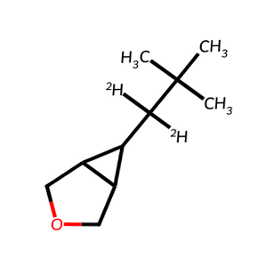 [2H]C([2H])(C1C2COCC21)C(C)(C)C